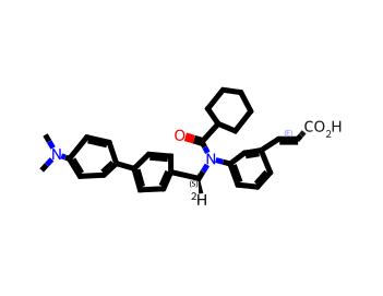 [2H][C@@H](c1ccc(-c2ccc(N(C)C)cc2)cc1)N(C(=O)C1CCCCC1)c1cccc(/C=C/C(=O)O)c1